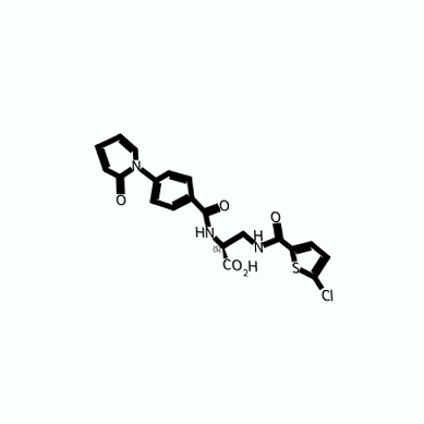 O=C(N[C@@H](CNC(=O)c1ccc(Cl)s1)C(=O)O)c1ccc(-n2ccccc2=O)cc1